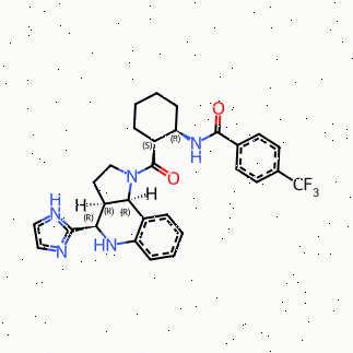 O=C(N[C@@H]1CCCC[C@@H]1C(=O)N1CC[C@@H]2[C@H](c3ncc[nH]3)Nc3ccccc3[C@@H]21)c1ccc(C(F)(F)F)cc1